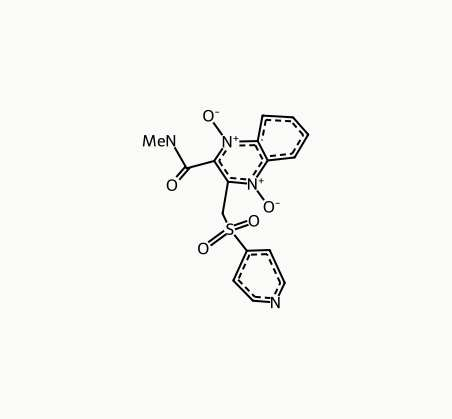 CNC(=O)c1c(CS(=O)(=O)c2ccncc2)[n+]([O-])c2ccccc2[n+]1[O-]